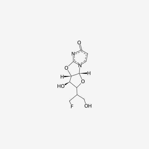 O=c1ccn2c(n1)O[C@H]1[C@H](O)C(C(CO)CF)O[C@H]12